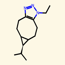 CCn1nnc2c1CCC1C(CC2)[C@@H]1C(C)C